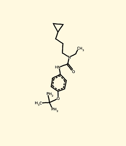 CCN(CCCC1CC1)C(=O)Nc1ccc(OC(C)(P)P)cc1